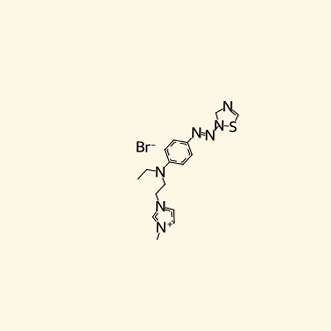 CCN(CCn1cc[n+](C)c1)c1ccc(N=NN2CN=CS2)cc1.[Br-]